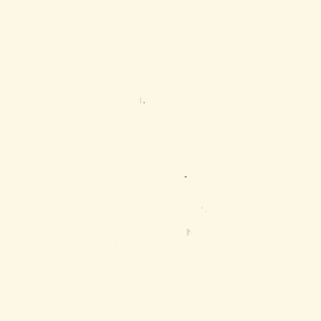 COc1cc(-c2ccc(Nc3ccc(N4CCN(C5CCCCC5)CC4)cc3)c3ncnn23)ccn1